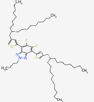 CCCCCCCCCCC(CCCCCCCC)Cc1csc(-c2c(F)c(F)c(-c3cc(CC(CCCCCCCC)CCCCCCCCCC)cs3)c3nn(CCCC)nc23)c1